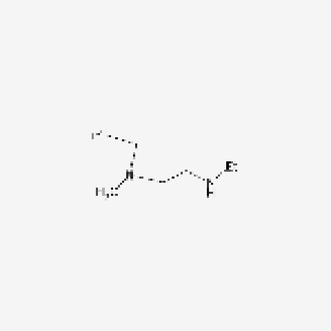 CCNCCN(C)CC(C)C